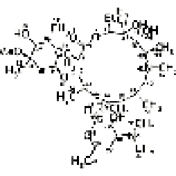 CC[C@H]1OC(=O)[C@H](C)[C@@H](O[C@H]2C[C@@](C)(OC)[C@@H](O)[C@H](C)O2)C(C)[C@@H](O[C@@H]2O[C@H](C)C[C@H](N(C)C)[C@H]2O)[C@](C)(O)C[C@@H](C)CN(C)[C@H](C)[C@@H](O)[C@]1(C)O